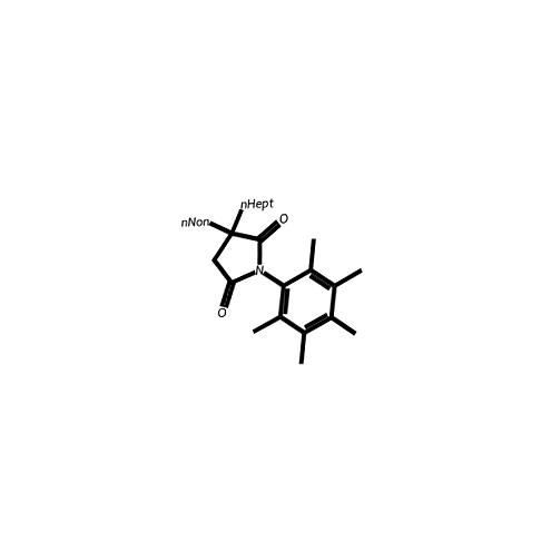 CCCCCCCCCC1(CCCCCCC)CC(=O)N(c2c(C)c(C)c(C)c(C)c2C)C1=O